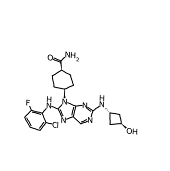 NC(=O)[C@H]1CC[C@@H](n2c(Nc3c(F)cccc3Cl)nc3cnc(N[C@H]4C[C@H](O)C4)nc32)CC1